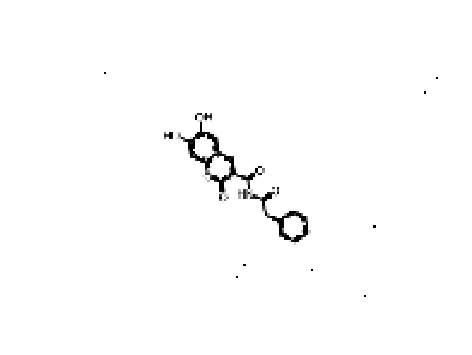 O=C(Cc1ccccc1)NC(=O)c1cc2cc(O)c(O)cc2oc1=O